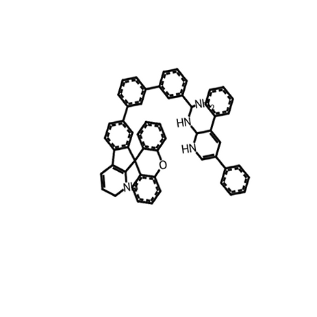 NC(NC1NC=C(c2ccccc2)C=C1c1ccccc1)c1cccc(-c2cccc(-c3ccc4c(c3)C3(C5=C4C=CCN5)c4ccccc4Oc4ccccc43)c2)c1